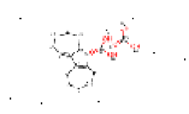 C1=C(C2=CCCCCC2)CCCCC1.O=C(O)O.O=C(O)O